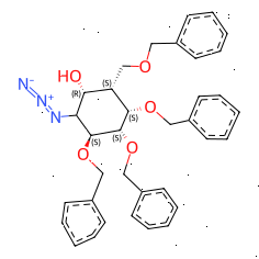 [N-]=[N+]=NC1[C@H](O)[C@H](COCc2ccccc2)[C@H](OCc2ccccc2)[C@H](OCc2ccccc2)[C@H]1OCc1ccccc1